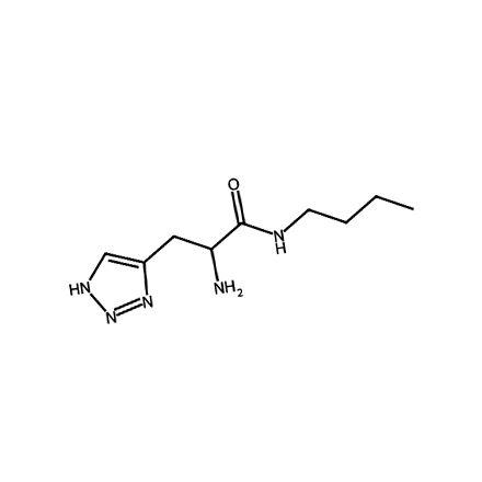 CCCCNC(=O)C(N)Cc1c[nH]nn1